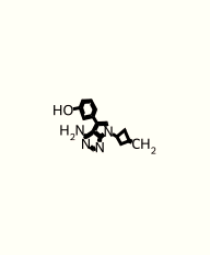 C=C1CC(n2cc(-c3cccc(O)c3)c3c(N)ncnc32)C1